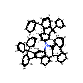 CC1(c2ccccc2)c2cc(N(c3ccc4c(c3)C(c3ccccc3)(c3ccccc3)c3ccccc3-4)c3c(-c4ccccc4)c4ccccc4c4ccccc34)ccc2-c2c(-c3ccccc3)cccc21